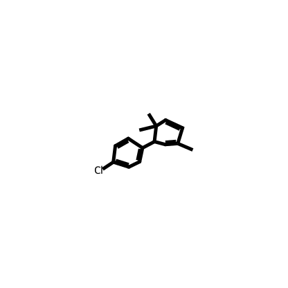 CC1=CC(c2ccc(Cl)cc2)C(C)(C)C=C1